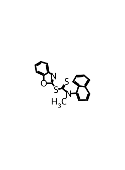 CN(C(=S)Sc1nc2ccccc2o1)c1cccc2ccccc12